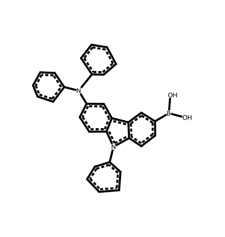 OB(O)c1ccc2c(c1)c1cc(N(c3ccccc3)c3ccccc3)ccc1n2-c1ccccc1